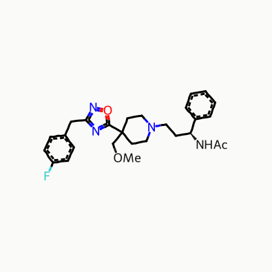 COCC1(c2nc(Cc3ccc(F)cc3)no2)CCN(CC[C@H](NC(C)=O)c2ccccc2)CC1